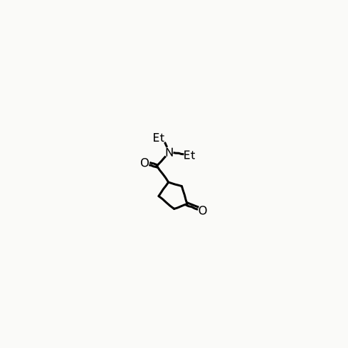 CCN(CC)C(=O)C1CCC(=O)C1